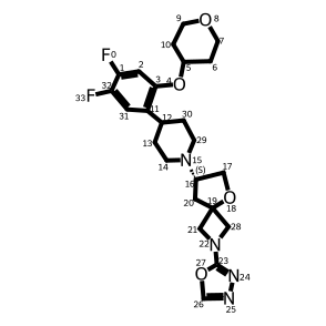 Fc1cc(OC2CCOCC2)c(C2CCN([C@@H]3COC4(C3)CN(c3nnco3)C4)CC2)cc1F